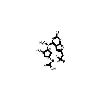 CN(c1nc(Cl)nc2sc(CC(F)(F)F)cc12)[C@H]1C[C@@H](NC(=O)O)C[C@H]1O